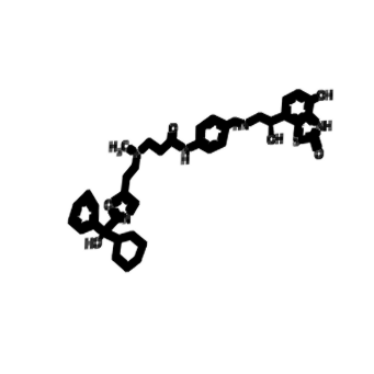 CN(CCC(=O)Nc1ccc(CNC[C@H](O)c2ccc(O)c3[nH]c(=O)sc23)cc1)CCc1cnc([C@](O)(c2ccccc2)C2CCCCC2)o1